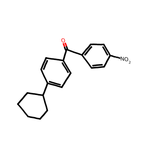 O=C(c1ccc(C2CCCCC2)cc1)c1ccc([N+](=O)[O-])cc1